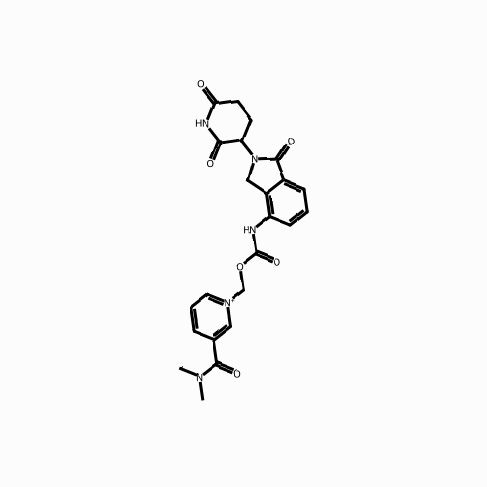 CN(C)C(=O)c1ccc[n+](COC(=O)Nc2cccc3c2CN(C2CCC(=O)NC2=O)C3=O)c1